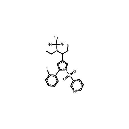 [2H]C([2H])([2H])N(CC)C(CC)c1cc(-c2ccccc2F)n(S(=O)(=O)c2cccnc2)c1